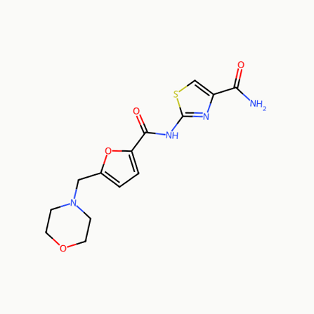 NC(=O)c1csc(NC(=O)c2ccc(CN3CCOCC3)o2)n1